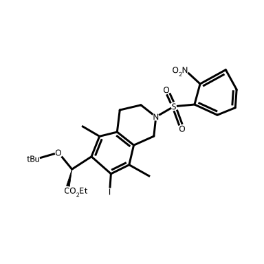 CCOC(=O)[C@@H](OC(C)(C)C)c1c(C)c2c(c(C)c1I)CN(S(=O)(=O)c1ccccc1[N+](=O)[O-])CC2